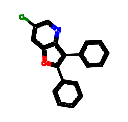 Clc1cnc2c(-c3ccccc3)c(-c3ccccc3)oc2c1